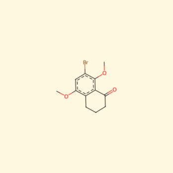 COc1cc(Br)c(OC)c2c1CCCC2=O